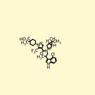 CC(CN(C(=O)c1cnn([C@H]2CC[C@](C)(C(=O)O)CC2)c1C(F)(F)F)[C@H]1C[C@@H]2[C@H](C1)C2(C)C)c1c[nH]c2cccc(Cl)c12